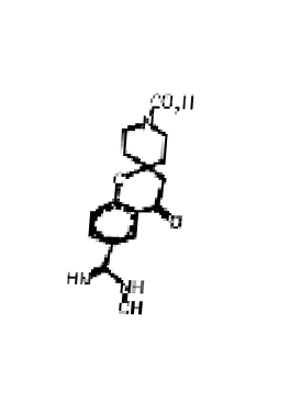 N=C(NO)c1ccc2c(c1)C(=O)CC1(CCN(C(=O)O)CC1)O2